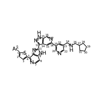 CC(=O)c1ccc(-c2nccc3[nH]c(-c4n[nH]c5cnc(-c6cncc(CNCC7CCCC7)c6)cc45)nc23)s1